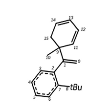 C=C(c1ccccc1C(C)(C)C)C1(C)C=CC=CC1